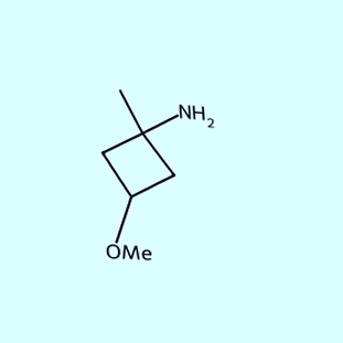 COC1CC(C)(N)C1